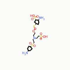 Nc1ccc(S(=O)(=O)CCN(CCOOSc2ccc(N)c(S(=O)(=O)O)c2)CCS(=O)(=O)O)cc1